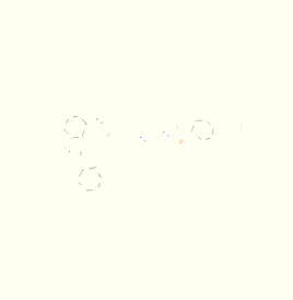 Cc1ccc(S(=O)(=O)N2CCN(CCC(=O)Nc3ccc4c(c3)N(S(=O)(=O)c3ccccc3)CCS4)CC2)cc1